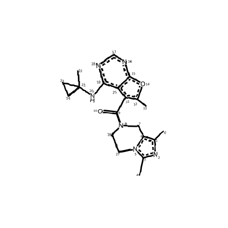 Cc1nc(C)n2c1CN(C(=O)c1c(C)oc3ncnc(NC4(C)CC4)c13)CC2